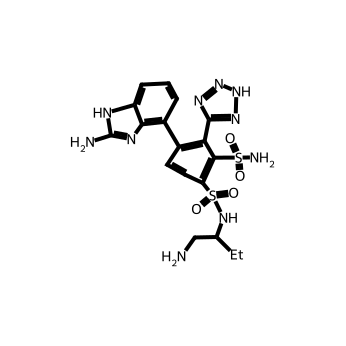 CCC(CN)NS(=O)(=O)c1ccc(-c2cccc3[nH]c(N)nc23)c(-c2nn[nH]n2)c1S(N)(=O)=O